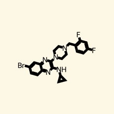 Fc1ccc(CN2CCN(c3nc4cc(Br)ccc4nc3NC3CC3)CC2)c(F)c1